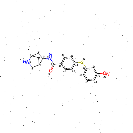 O=C(NC1CC2CC1CN2)c1ccc(Sc2cccc(O)c2)cc1